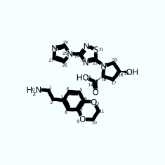 NCCc1ccc2c(c1)OCCO2.O=C(O)[C@H]1C[C@H](O)CN1c1nc(-n2ccnc2)ns1